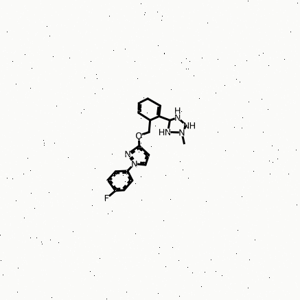 CN1NNC(C2=CCC=CC2COc2ccn(-c3ccc(F)cc3)n2)N1